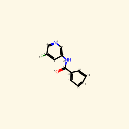 O=C(Nc1cncc(F)c1)c1ccccc1